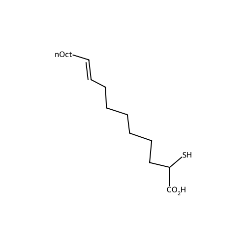 CCCCCCCCC=CCCCCCCC(S)C(=O)O